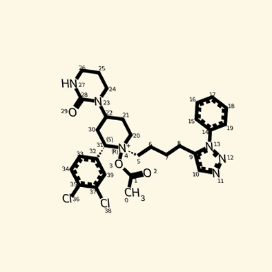 CC(=O)O[N@+]1(CCCCc2cnnn2-c2ccccc2)CCC(N2CCCNC2=O)C[C@H]1c1ccc(Cl)c(Cl)c1